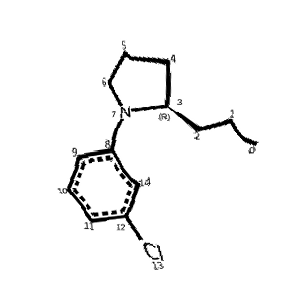 CCC[C@@H]1CC[CH]N1c1cccc(Cl)c1